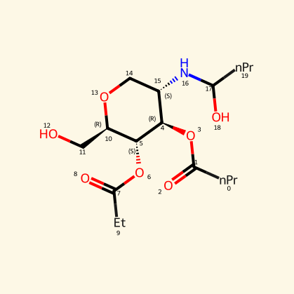 CCCC(=O)O[C@H]1[C@H](OC(=O)CC)[C@@H](CO)OC[C@@H]1NC(O)CCC